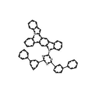 c1ccc(-c2cccc(-c3nc(-c4cccc(-c5ccccc5)c4)nc(-n4c5ccccc5c5cc6c(cc54)c4ccccc4n4c5ccccc5cc64)n3)c2)cc1